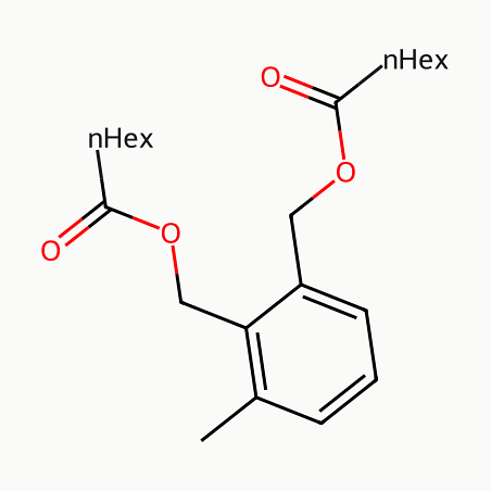 CCCCCCC(=O)OCc1cccc(C)c1COC(=O)CCCCCC